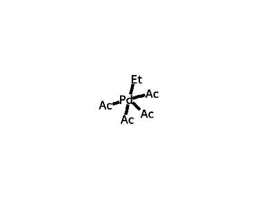 C[CH2][Pd]([C](C)=O)([C](C)=O)([C](C)=O)[C](C)=O